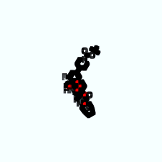 COc1cccc(C(=O)NC2CC3CCC(C2)N3c2ccc(C(=O)NC(C)c3c(F)cc(C4=CCN(C(=O)OC(C)(C)C)CC4)cc3F)cn2)c1C